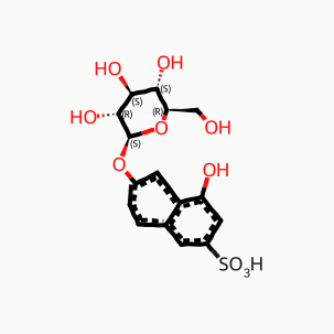 O=S(=O)(O)c1cc(O)c2cc(O[C@@H]3O[C@H](CO)[C@@H](O)[C@H](O)[C@H]3O)ccc2c1